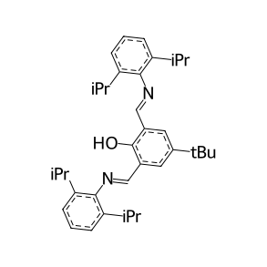 CC(C)c1cccc(C(C)C)c1N=Cc1cc(C(C)(C)C)cc(C=Nc2c(C(C)C)cccc2C(C)C)c1O